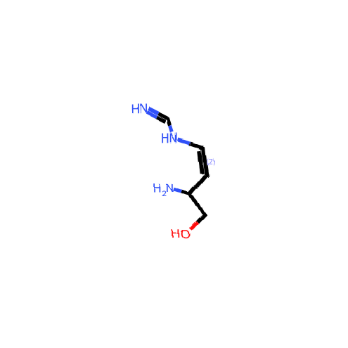 N=CN/C=C\C(N)CO